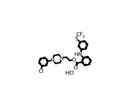 Cl.O=C(OCCN1CCN(c2cccc(Cl)c2)CC1)c1ccccc1Nc1cccc(SC(F)(F)F)c1